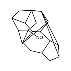 O=NC12CC1C1CC3(C2)C1C1C2CC4CC5C6C4C1C2C563